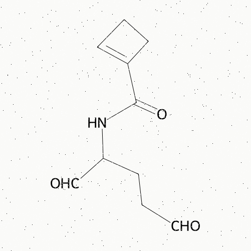 O=CCCC(C=O)NC(=O)C1=CCC1